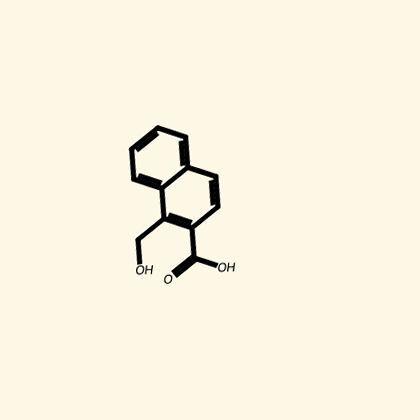 O=C(O)c1ccc2ccccc2c1CO